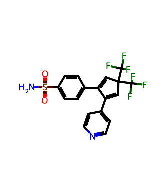 NS(=O)(=O)c1ccc(C2=CC(C(F)(F)F)(C(F)(F)F)C=C2c2ccncc2)cc1